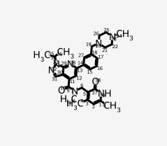 Cc1cc(C)c(CN(C)C(=O)c2cc(-c3cccc(CN4CCN(C)CC4)c3)nc3c2cnn3C(C)C)c(=O)[nH]1